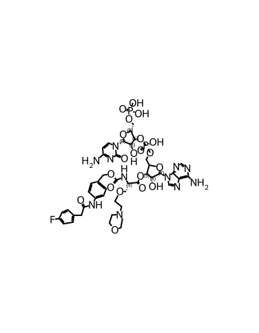 Nc1ccn([C@@H]2O[C@H](COP(=O)(O)O)[C@@H](OP(=O)(O)OCC3O[C@@H](n4cnc5c(N)ncnc54)[C@H](O)[C@@H]3OC(=O)[C@H](COCCN3CCOCC3)NC(=O)OCc3ccc(NC(=O)Cc4ccc(F)cc4)cc3)[C@H]2O)c(=O)n1